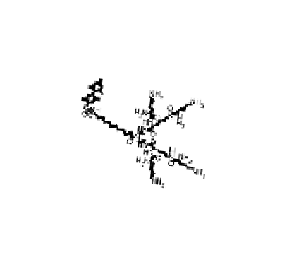 Cc1cc(C)c(-c2cc(C)c(OP(=O)(O)OCCCCCCCCCCCC(=O)N(CCNC(=O)[C@H](CCCCNC(=O)[C@@H](N)CCCCN)NC(=O)[C@@H](N)CCCCN)CCNC(=O)[C@H](CCCCNC(=O)[C@@H](N)CCCCN)NC(=O)[C@@H](N)CCCCN)cc2C)c(C)c1